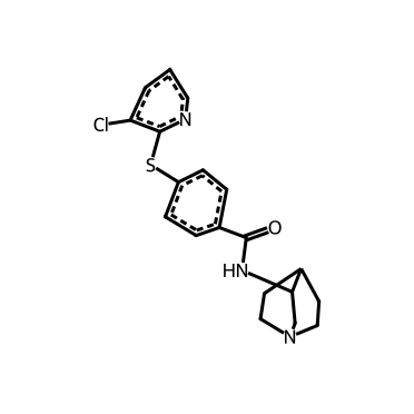 O=C(NC1CN2CCC1CC2)c1ccc(Sc2ncccc2Cl)cc1